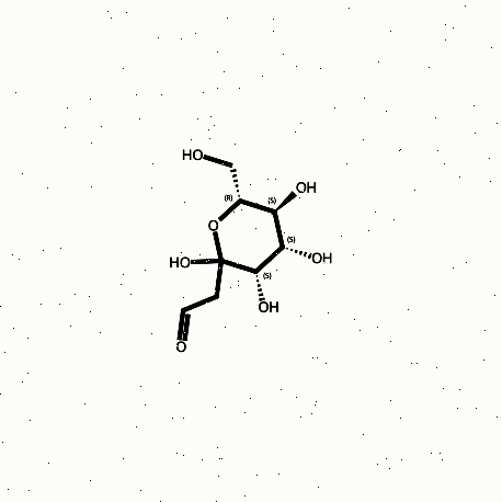 O=CCC1(O)O[C@H](CO)[C@@H](O)[C@H](O)[C@@H]1O